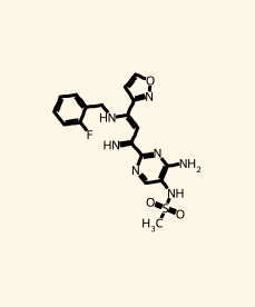 CS(=O)(=O)Nc1cnc(C(=N)/C=C(\NCc2ccccc2F)c2ccon2)nc1N